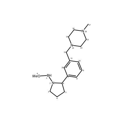 COBN1CCCC1c1cccc(CN2CCN(C)CC2)c1